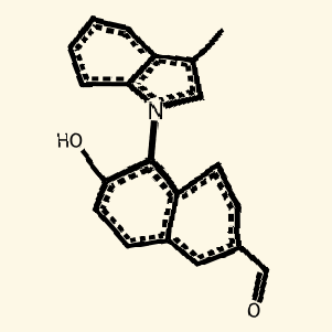 Cc1cn(-c2c(O)ccc3cc(C=O)ccc23)c2ccccc12